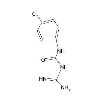 N=C(N)NC(=O)Nc1ccc(Cl)cc1